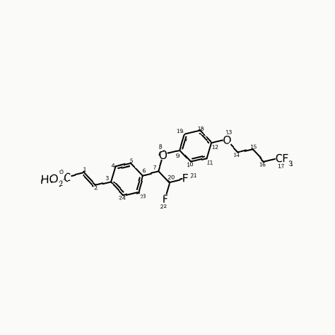 O=C(O)C=Cc1ccc(C(Oc2ccc(OCCCC(F)(F)F)cc2)C(F)F)cc1